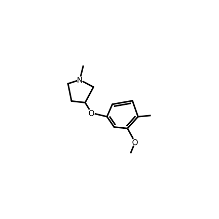 COc1cc(OC2CCN(C)C2)ccc1C